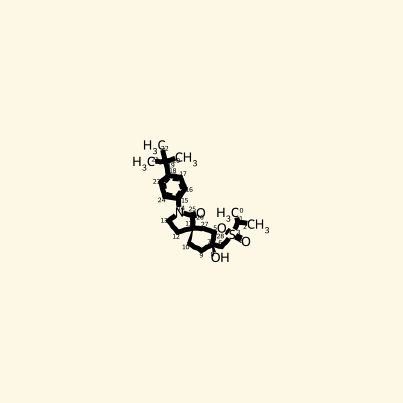 CC(C)S(=O)(=O)C[C@]1(O)CC[C@]2(CCN(c3ccc(C(C)(C)C)cc3)C2=O)CC1